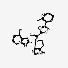 Cc1ncccc1-c1nnc(C(=O)N2CCc3[nH]cnc3[C@@H]2c2cc3c(F)cccn3n2)o1